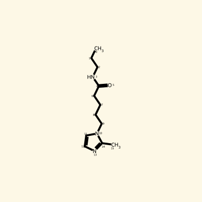 CCCNC(=O)CCCCn1c[c]nc1C